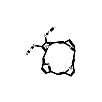 S=C=Nc1c(N=C=S)c2cc3nc(cc4ccc(cc5nc(cc1[nH]2)C=C5)[nH]4)C=C3